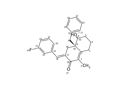 CC1=C2CCC[C@H](O)[C@@]2(Cc2ccccc2)CC(=Cc2cccc(F)c2)C1=O